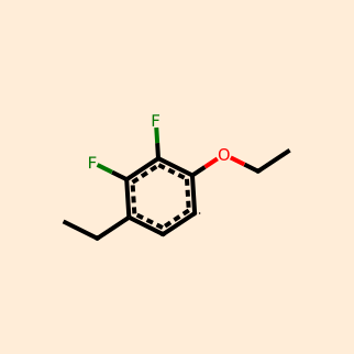 CCOc1[c]cc(CC)c(F)c1F